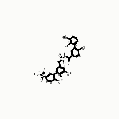 CC(C)(C)c1cccc(-c2cc(C(=O)NS(=O)(=O)Cc3cc(-c4cc(S(C)(=O)=O)ccc4Cl)c(F)c(C(C)(C)C)c3)ccc2Cl)c1F